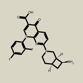 N[C@H]1C[C@H]2CCN(c3ccc4c(=O)c(C(=O)O)cn(-c5ccc(F)cc5F)c4n3)C[C@H]21